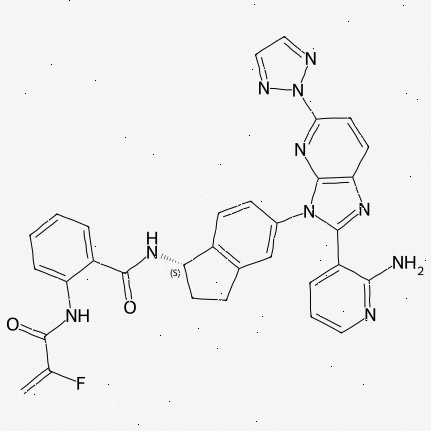 C=C(F)C(=O)Nc1ccccc1C(=O)N[C@H]1CCc2cc(-n3c(-c4cccnc4N)nc4ccc(-n5nccn5)nc43)ccc21